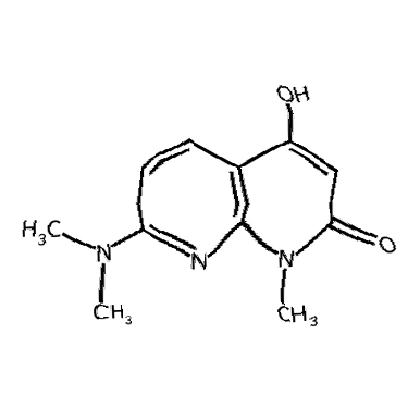 CN(C)c1ccc2c(O)cc(=O)n(C)c2n1